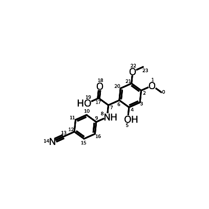 COc1cc(O)c(C(Nc2ccc(C#N)cc2)C(=O)O)cc1OC